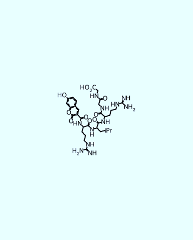 CC(C)CC(NC(=O)C(CCCNC(=N)N)NC(=O)c1cc2ccc(O)cc2oc1=O)C(=O)NC(CCCNC(=N)N)C(=O)NCC(=O)NCC(=O)O